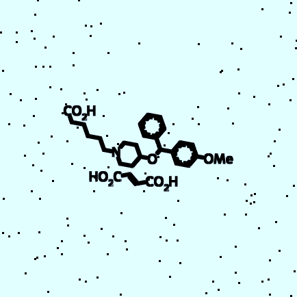 COc1ccc(C(OC2CCN(CCCCCC(=O)O)CC2)c2ccccc2)cc1.O=C(O)C=CC(=O)O